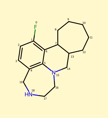 Fc1ccc2c3c1C1CCCCCC1CN3CCNC2